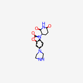 O=C1CCC(n2c(=O)oc3cc(N4CCNCC4)ccc32)C(=O)N1